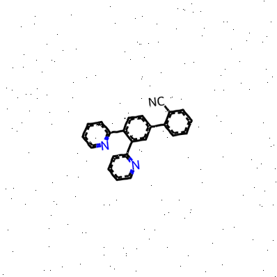 N#Cc1ccccc1-c1c[c]c(-c2ccccn2)c(-c2ccccn2)c1